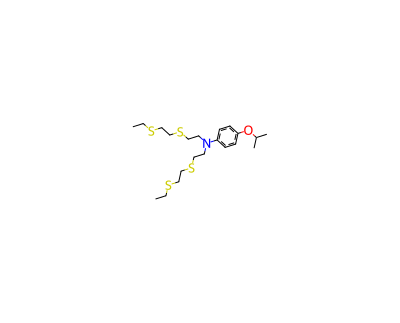 CCSCCSCCN(CCSCCSCC)c1ccc(OC(C)C)cc1